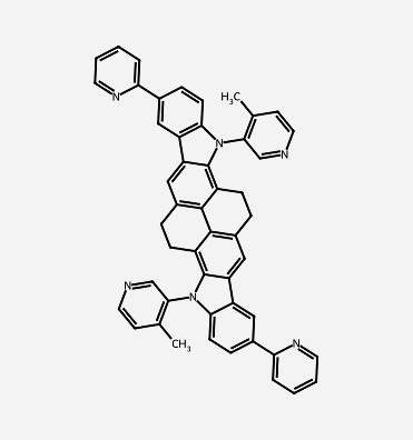 Cc1ccncc1-n1c2ccc(-c3ccccn3)cc2c2cc3c4c(c21)CCc1cc2c5cc(-c6ccccn6)ccc5n(-c5cnccc5C)c2c(c1-4)CC3